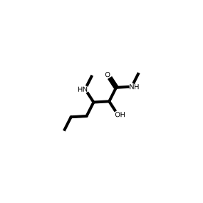 CCCC(NC)C(O)C(=O)NC